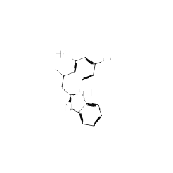 CC(Cc1nc2ccccc2[nH]1)c1ccc(O)cc1O